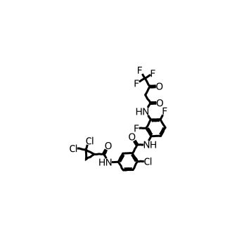 O=C(CC(=O)C(F)(F)F)Nc1c(F)ccc(NC(=O)c2cc(NC(=O)C3CC3(Cl)Cl)ccc2Cl)c1F